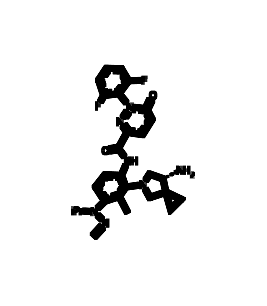 C=NN(c1ccc(NC(=O)c2ccc(=O)n(-c3c(F)cccc3F)n2)c(N2C[C@H](N)C3(CC3)C2)c1C)C(C)C